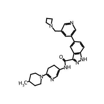 CC1CCN(C2=NC=C(NC(=O)c3n[nH]c4ccc(-c5cncc(CN6CCC6)c5)cc34)CC2)CC1